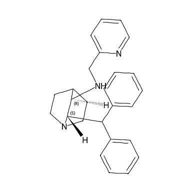 c1ccc(C(c2ccccc2)[C@H]2[C@H](NCc3ccccn3)C3CCN2CC3)cc1